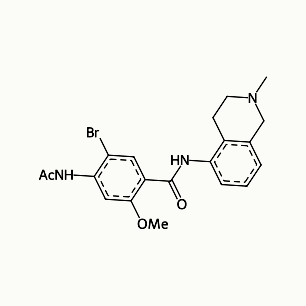 COc1cc(NC(C)=O)c(Br)cc1C(=O)Nc1cccc2c1CCN(C)C2